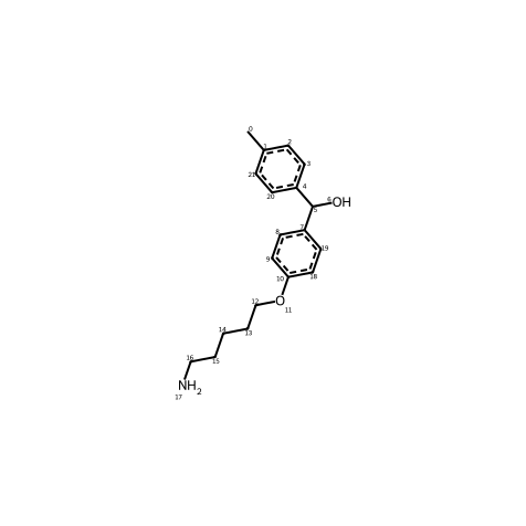 Cc1ccc(C(O)c2ccc(OCCCCCN)cc2)cc1